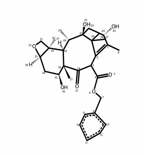 CC1=C2C(C(=O)OCc3ccccc3)C(=O)[C@@]3(C)[C@H]([C@H](C)[C@](O)(C[C@@H]1O)C2(C)C)[C@]1(C)CO[C@@H]1C[C@@H]3O